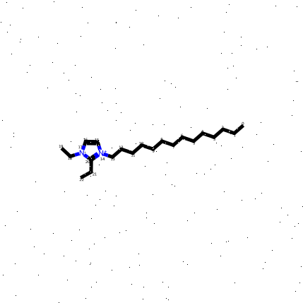 CCCCCCCCCCCCCC[n+]1ccn(CC)c1CC